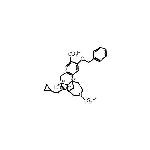 O=C(O)c1cc2c(cc1OCc1ccccc1)[C@@]13CCN(C(=O)O)CC[C@@]1(O)[C@@H](C2)N(CC1CC1)CC3